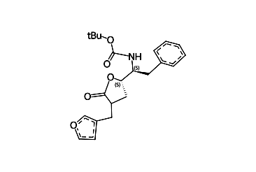 CC(C)(C)OC(=O)N[C@@H](Cc1ccccc1)[C@@H]1CC(Cc2ccoc2)C(=O)O1